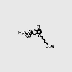 Cc1c(Cl)ccc(OCCCCCOCC(C)C)c1Cc1cnn2c(N)ncnc12